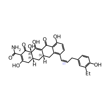 CCc1cc(C/C=C\c2ccc(O)c3c2C[C@@H]2C[C@@H]4CC(O)=C(C(N)=O)C(=O)[C@]4(O)C(O)=C2C3=O)ccc1O